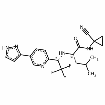 CC(C)C[C@H](N[C@@H](c1ccc(-c2cc[nH]n2)cn1)C(F)(F)F)C(=O)NC1(C#N)CC1